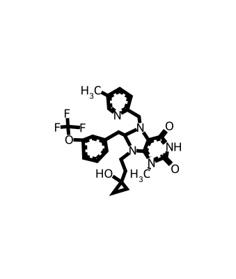 Cc1ccc(CN2c3c(n(C)c(=O)[nH]c3=O)N(CCC3(O)CC3)C2Cc2cccc(OC(F)(F)F)c2)nc1